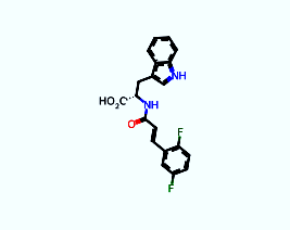 O=C(C=Cc1cc(F)ccc1F)N[C@@H](Cc1c[nH]c2ccccc12)C(=O)O